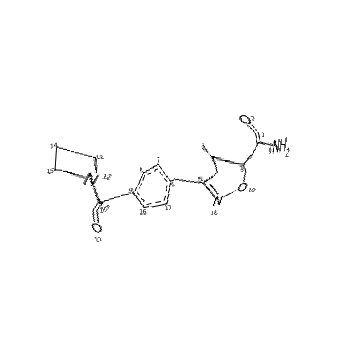 NC(=O)C1CC(c2ccc(C(=O)N3CCC3)cc2)=NO1